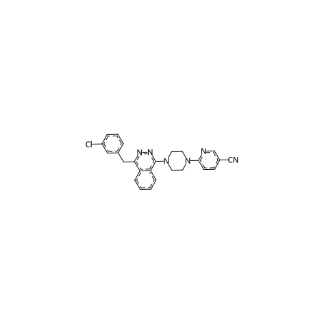 N#Cc1ccc(N2CCN(c3nnc(Cc4cccc(Cl)c4)c4ccccc34)CC2)nc1